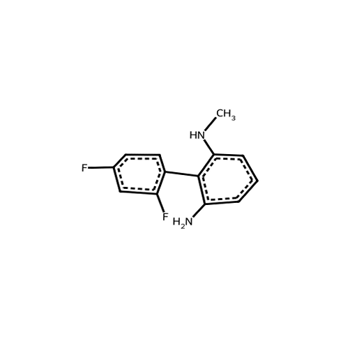 CNc1cccc(N)c1-c1ccc(F)cc1F